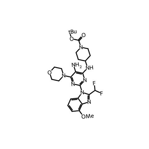 COc1cccc2c1nc(C(F)F)n2-c1nc(NC2CCN(C(=O)OC(C)(C)C)CC2)c(N)c(N2CCOCC2)n1